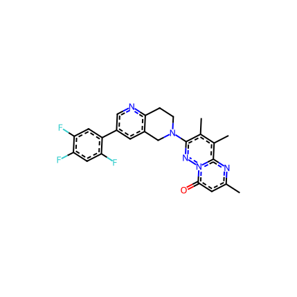 Cc1cc(=O)n2nc(N3CCc4ncc(-c5cc(F)c(F)cc5F)cc4C3)c(C)c(C)c2n1